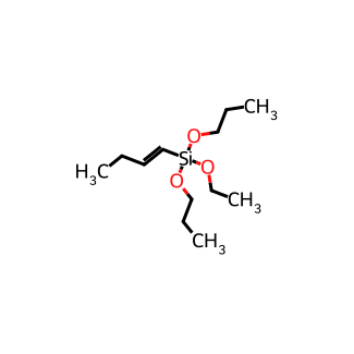 CCC=C[Si](OCC)(OCCC)OCCC